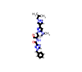 CC(C)Cn1cc(-c2cc(N(C)C)n(CCC(C=O)NC(=O)c3ncn(Cc4ccccc4)n3)n2)cn1